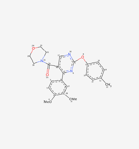 COc1ccc(-c2nc(Oc3ccc(C)cc3)ncc2C(=O)N2CCOCC2)cc1OC